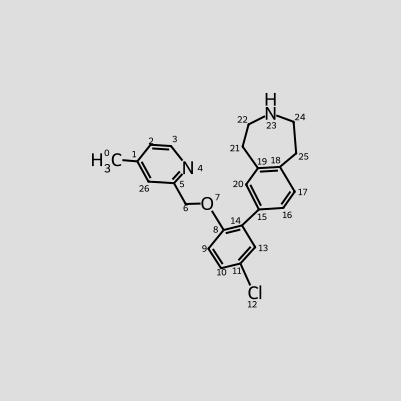 Cc1ccnc(COc2ccc(Cl)cc2-c2ccc3c(c2)CCNCC3)c1